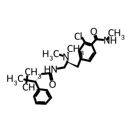 CNC(=O)c1ccc(C[C@@H](CNC(=O)C[C@H](c2ccccc2)C(C)(C)C)N(C)C)cc1Cl